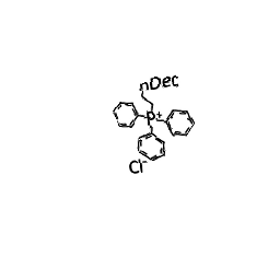 CCCCCCCCCCCC[P+](c1ccccc1)(c1ccccc1)c1ccccc1.[Cl-]